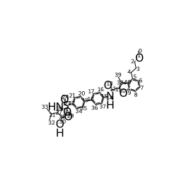 COCCCc1cccc2oc(C(=O)Nc3ccc(-c4ccc(S(=O)(=O)NC(C(=O)O)C(C)C)cc4)cc3)c(C)c12